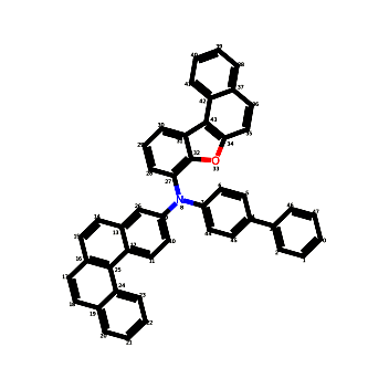 c1ccc(-c2ccc(N(c3ccc4c(ccc5ccc6ccccc6c54)c3)c3cccc4c3oc3ccc5ccccc5c34)cc2)cc1